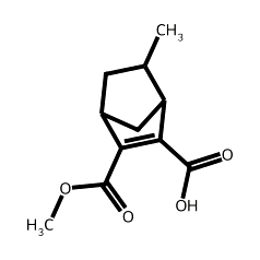 COC(=O)C1=C(C(=O)O)C2CC1CC2C